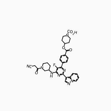 N#CCC(=O)N1CCCC(Nc2nc(-c3cnn4ccccc34)nc(-c3ccc(C(=O)OC4CCN(C(=O)O)CC4)cc3)c2F)C1